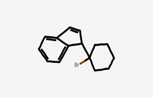 BrC1([C]2C=Cc3ccccc32)CCCCC1